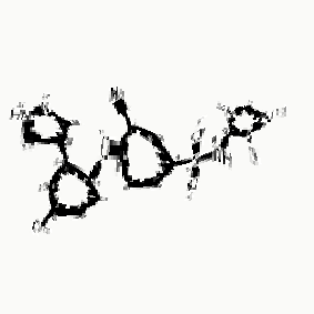 N#Cc1cc(S(=O)(=O)Nc2ncns2)ccc1Oc1ccc(Cl)cc1-c1cn[nH]c1